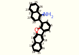 Nc1c(-c2cccc3c2oc2cc4ccccc4cc23)ccc2ccccc12